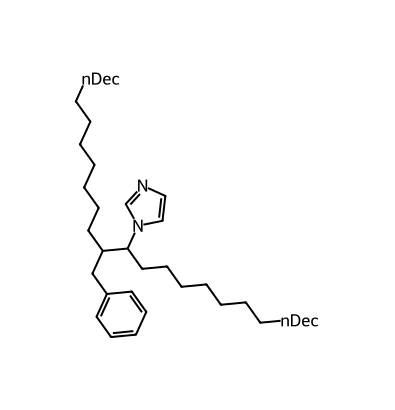 CCCCCCCCCCCCCCCCCC(Cc1ccccc1)C(CCCCCCCCCCCCCCCCC)n1ccnc1